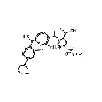 CNS(=O)(=O)c1ccc(Nc2ccc(N(C)c3ccc(C4CCCCC4)cc3Cl)cc2C)c(C(=O)O)c1